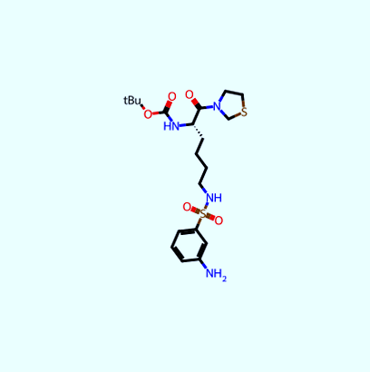 CC(C)(C)OC(=O)N[C@@H](CCCCNS(=O)(=O)c1cccc(N)c1)C(=O)N1CCSC1